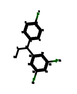 CCC(c1ccc(F)cc1)c1cc(F)cc(F)c1